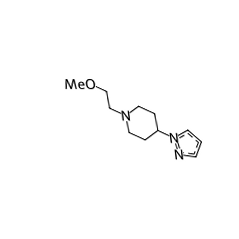 COCCN1CCC(n2cccn2)CC1